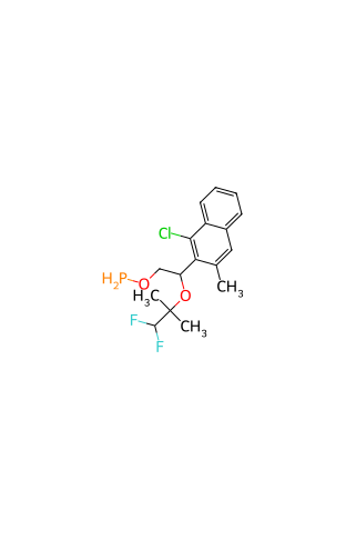 Cc1cc2ccccc2c(Cl)c1C(COP)OC(C)(C)C(F)F